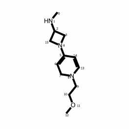 CNC1CN(C2=CCN(CCOC)C=C2)C1